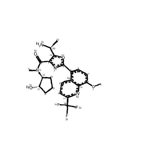 COc1ccc(-c2nc(C(=O)N(C)[C@H]3CCC[C@@H]3O)c([C@H](C)N)o2)c2ccc(C(F)(F)F)nc12